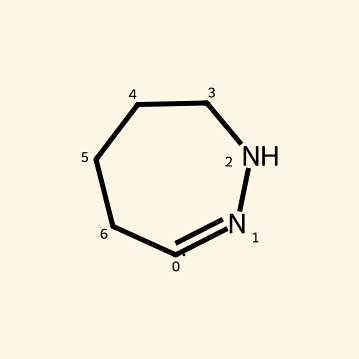 [C]1=NNCCCC1